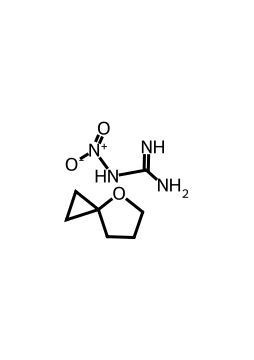 C1COC2(C1)CC2.N=C(N)N[N+](=O)[O-]